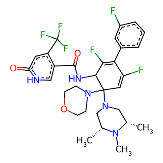 C[C@@H]1CN(C2(N3CCOCC3)C=C(F)C(c3cccc(F)c3)=C(F)C2NC(=O)c2c[nH]c(=O)cc2C(F)(F)F)C[C@H](C)N1C